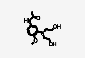 COc1ccc(NC(C)=O)cc1N(CCO)CCO